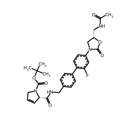 CC(=O)NC[C@H]1CN(c2ccc(-c3ccc(CNC(=O)[C@@H]4C=CCN4C(=O)OC(C)(C)C)cc3)c(F)c2)C(=O)O1